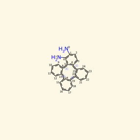 Nc1ccc2/c(c1N)=c1/cccc/c1=c1\cccc\c1=c1/cccc/c1=2